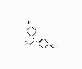 O=CC(c1ccc(O)cc1)c1ccc(F)cc1